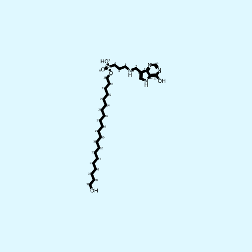 O=P(O)(CCCNCc1c[nH]c2c(O)ncnc12)OCCCCCCCCCCCCCCCCCCCCCO